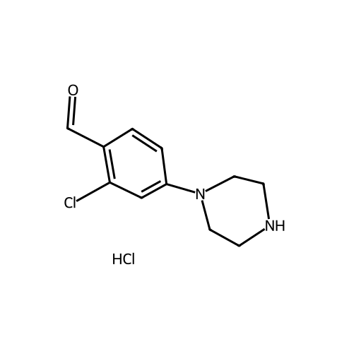 Cl.O=Cc1ccc(N2CCNCC2)cc1Cl